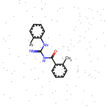 Cc1ccccc1C(=O)NC(=N)Nc1ccccc1C(C)C